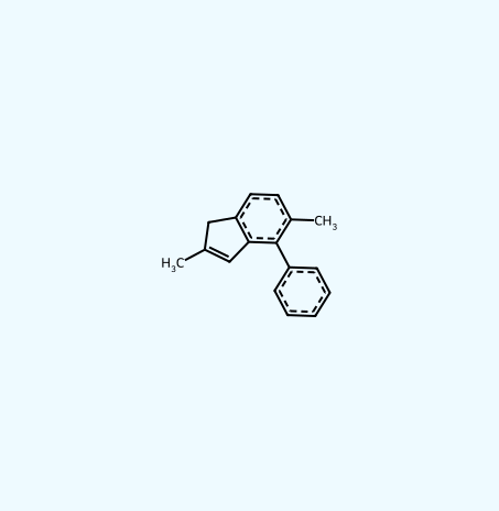 CC1=Cc2c(ccc(C)c2-c2ccccc2)C1